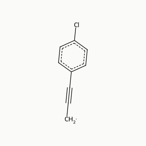 [CH2]C#Cc1ccc(Cl)cc1